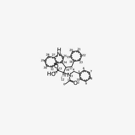 CC(=O)N(Cc1ccccc1)[C@@](C)(C(=O)O)C(Cc1ccccc1)c1c[nH]c2ccccc12